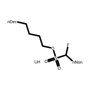 CCCCCCCCCCCCCCOS(=O)(=O)C(F)CCCCCCCCC.[LiH]